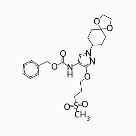 CS(=O)(=O)CCCOc1nn(C2CCC3(CC2)OCCO3)cc1NC(=O)OCc1ccccc1